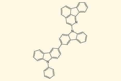 c1ccc(-n2c3ccccc3c3cc(-c4ccc5c(c4)c4ccccc4n5-c4cc5cccc6c5c(n4)-c4ccccc4-6)ccc32)cc1